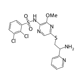 COc1nc(SCC(N)c2ccccn2)cnc1NS(=O)(=O)c1cccc(Cl)c1Cl